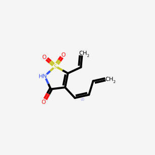 C=C/C=C\C1=C(C=C)S(=O)(=O)NC1=O